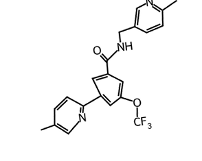 Cc1ccc(-c2cc(OC(F)(F)F)cc(C(=O)NCc3ccc(C)nc3)c2)nc1